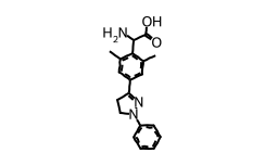 Cc1cc(C2=NN(c3ccccc3)CC2)cc(C)c1C(N)C(=O)O